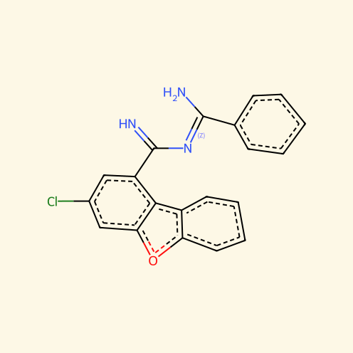 N=C(/N=C(\N)c1ccccc1)c1cc(Cl)cc2oc3ccccc3c12